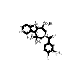 CCOC(=O)C1=CN(C(=O)c2ccc(F)c(C)c2)CC(C)(C)c2c1[nH]c1ccncc21